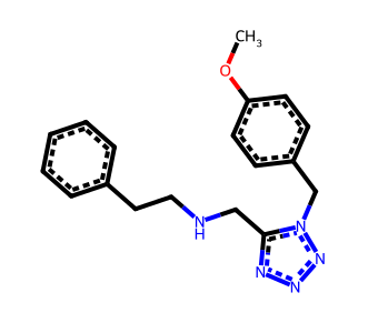 COc1ccc(Cn2nnnc2CNCCc2ccccc2)cc1